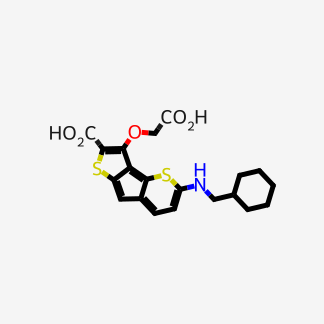 O=C(O)COc1c(C(=O)O)sc2cc3ccc(NCC4CCCCC4)sc-3c12